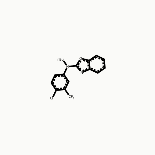 CCCCN(c1ccc(Cl)c(C(F)(F)F)c1)c1nc2ccccc2o1